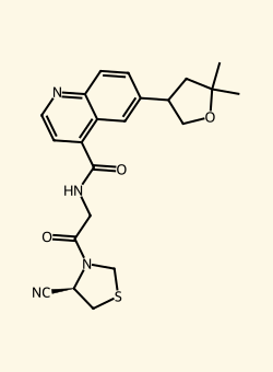 CC1(C)CC(c2ccc3nccc(C(=O)NCC(=O)N4CSC[C@H]4C#N)c3c2)CO1